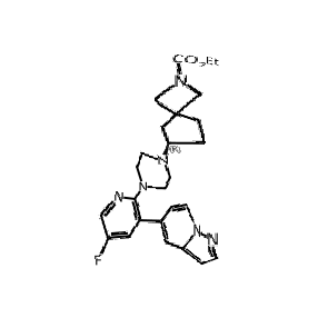 CCOC(=O)N1CC2(CC[C@@H](N3CCN(c4ncc(F)cc4-c4ccn5nccc5c4)CC3)C2)C1